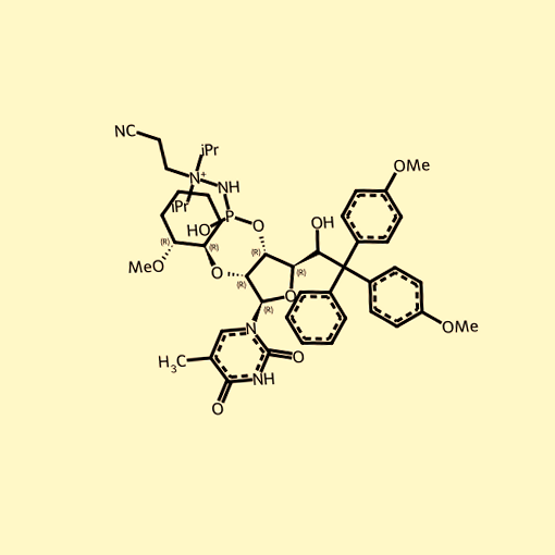 COc1ccc(C(c2ccccc2)(c2ccc(OC)cc2)C(O)[C@H]2O[C@@H](n3cc(C)c(=O)[nH]c3=O)[C@H](O[C@@H]3CCCC[C@H]3OC)[C@@H]2OP(O)N[N+](CCC#N)(C(C)C)C(C)C)cc1